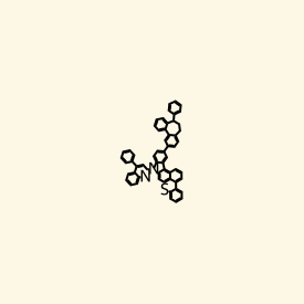 c1ccc(-c2cc(-n3c4ccc(-c5ccc6c(c5)-c5ccccc5C(c5ccccc5)CC6)cc4c4c5cccc6c5c(cc43)Sc3ccccc3-6)nc3ccccc23)cc1